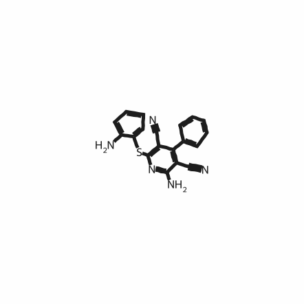 N#Cc1c(N)nc(Sc2ccccc2N)c(C#N)c1-c1ccccc1